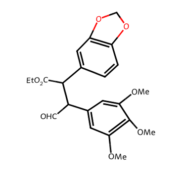 CCOC(=O)C(c1ccc2c(c1)OCO2)C(C=O)c1cc(OC)c(OC)c(OC)c1